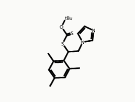 Cc1cc(C)c(C(Cn2ccnc2)SC(=S)OC(C)(C)C)c(C)c1